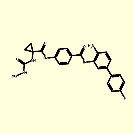 CC(C)(C)NC(=O)NC1(C(=O)Nc2ccc(C(=O)Nc3cc(-c4ccc(F)cc4)ccc3N)cc2)CC1